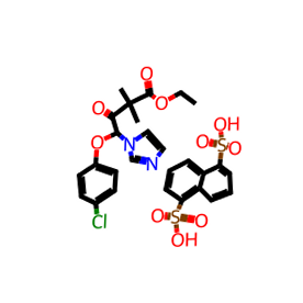 CCOC(=O)C(C)(C)C(=O)C(Oc1ccc(Cl)cc1)n1ccnc1.O=S(=O)(O)c1cccc2c(S(=O)(=O)O)cccc12